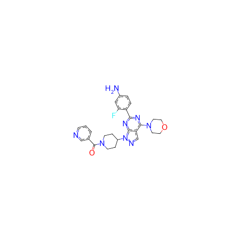 Nc1ccc(-c2nc(N3CCOCC3)c3cnn(C4CCN(C(=O)c5cccnc5)CC4)c3n2)c(F)c1